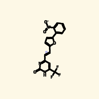 O=c1nc(/C=C/c2ccc(-c3ccccc3[N+](=O)[O-])o2)cc(C(F)(F)F)[nH]1